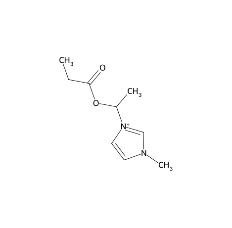 CCC(=O)OC(C)[n+]1ccn(C)c1